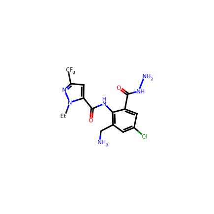 CCn1nc(C(F)(F)F)cc1C(=O)Nc1c(CN)cc(Cl)cc1C(=O)NN